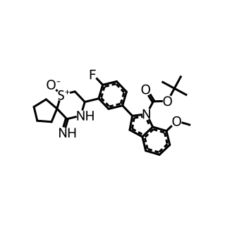 COc1cccc2cc(-c3ccc(F)c(C4C[S+]([O-])C5(CCCC5)C(=N)N4)c3)n(C(=O)OC(C)(C)C)c12